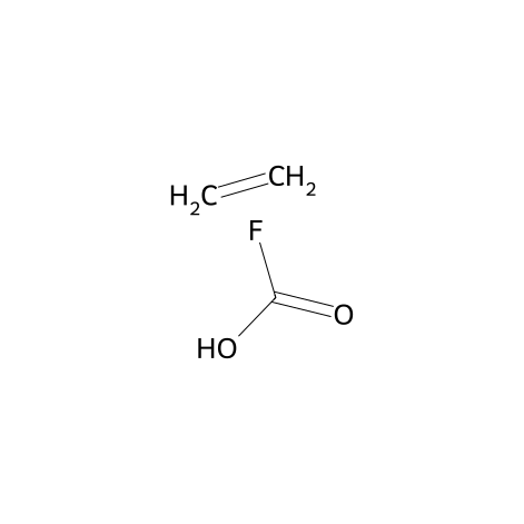 C=C.O=C(O)F